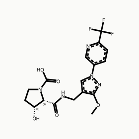 COc1nn(-c2ccc(C(F)(F)F)nc2)cc1CNC(=O)[C@@H]1[C@H](O)CCN1C(=O)O